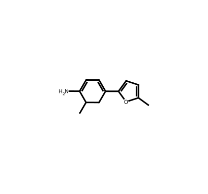 Cc1ccc(C2=CC=C(N)C(C)C2)o1